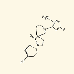 Cc1ccc(F)cc1N1CCC[C@]2(CCN([C@H]3CC[C@H](O)CC3)C2=O)C1